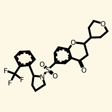 O=C1CC(C2CCOCC2)Oc2ccc(S(=O)(=O)N3CCCC3c3ccccc3C(F)(F)F)cc21